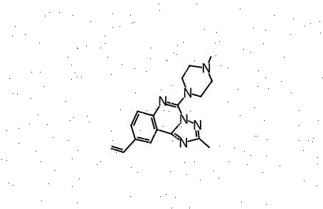 C=Cc1ccc2nc(N3CCN(C)CC3)n3nc(C)nc3c2c1